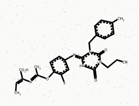 C/C=C(\N=C(/C)Oc1ccc(/N=c2\[nH]c(=O)n(CCC#N)c(=O)n2Cc2ccc(C)cc2)cc1F)C(=O)O